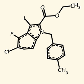 CCOC(=O)c1c(I)c2c(F)c(Cl)ccc2n1Cc1ccc(C)cc1